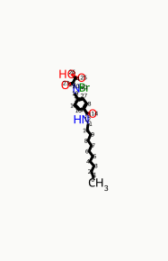 CCCCCCCCCCCCNC(=O)c1ccc(CN(Br)C(=O)C(=O)O)cc1